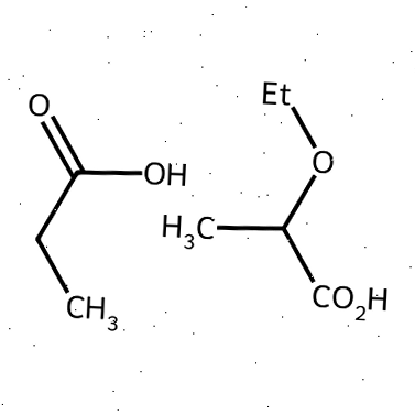 CCC(=O)O.CCOC(C)C(=O)O